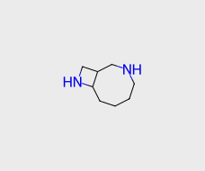 C1CCC2NCC2CNC1